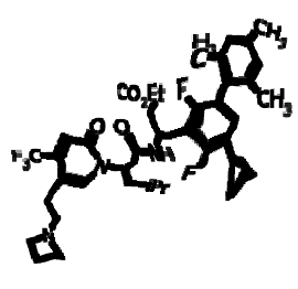 CCOC(=O)CC(NC(=O)C(CC(C)C)n1cc(CCN2CCC2)c(C(F)(F)F)cc1=O)c1c(F)c(-c2c(C)cc(C)cc2C)cc(C2CC2)c1F